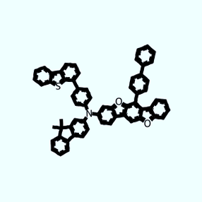 CC1(C)c2ccccc2-c2ccc(N(c3ccc(-c4cccc5c4sc4ccccc45)cc3)c3ccc4c(c3)oc3c(-c5ccc(-c6ccccc6)cc5)c5c(cc34)oc3ccccc35)cc21